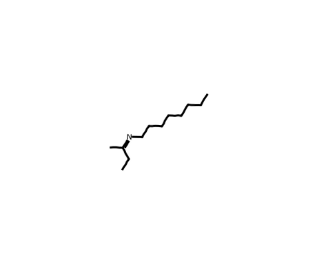 CCCCCCCCN=C(C)CC